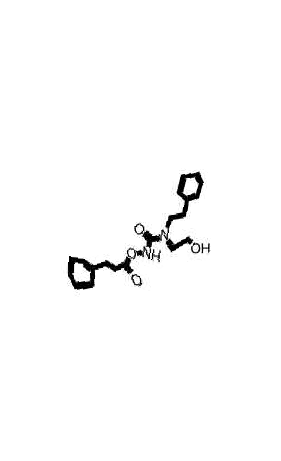 O=C(CCc1ccccc1)ONC(=O)N(CCO)CCc1ccccc1